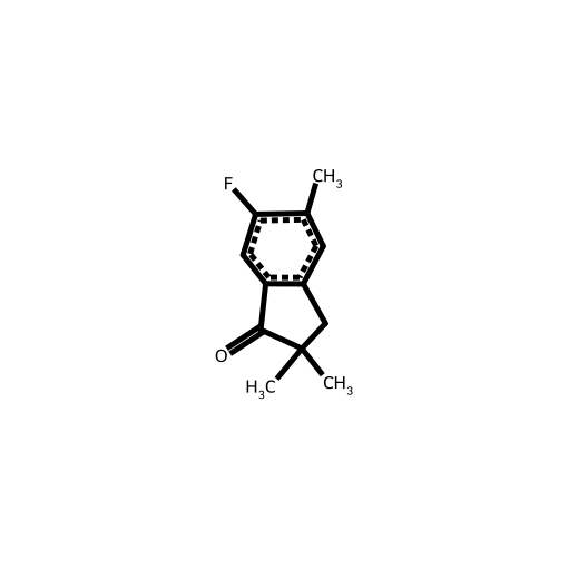 Cc1cc2c(cc1F)C(=O)C(C)(C)C2